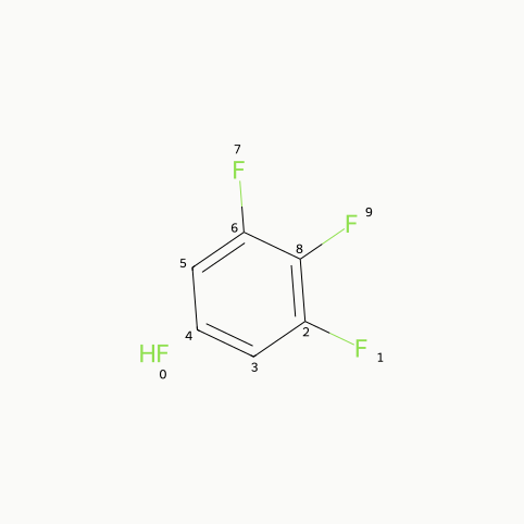 F.Fc1cccc(F)c1F